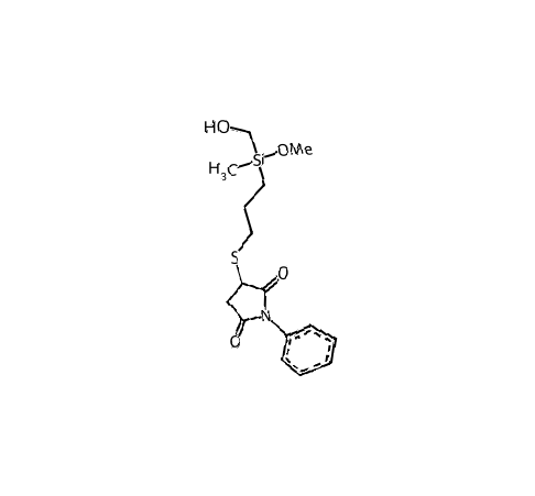 CO[Si](C)(CO)CCCSC1CC(=O)N(c2ccccc2)C1=O